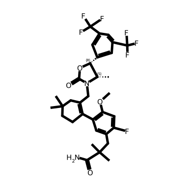 COc1cc(F)c(CC(C)(C)C(N)=O)cc1C1=C(CN2C(=O)O[C@H](c3cc(C(F)(F)F)cc(C(F)(F)F)c3)[C@@H]2C)CC(C)(C)CC1